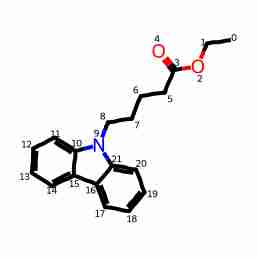 CCOC(=O)CCCCn1c2ccccc2c2ccccc21